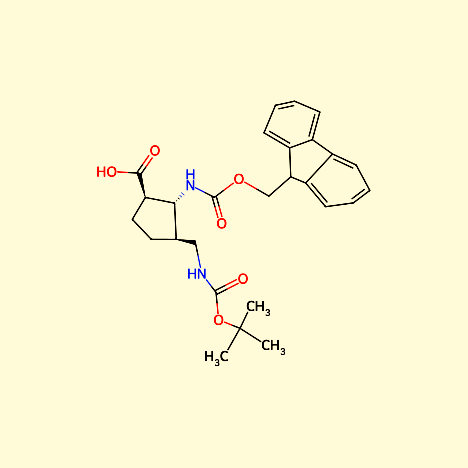 CC(C)(C)OC(=O)NC[C@H]1CC[C@@H](C(=O)O)[C@@H]1NC(=O)OCC1c2ccccc2-c2ccccc21